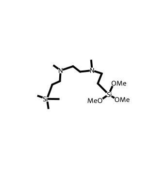 CO[Si](CCN(C)CCN(C)CC[Si](C)(C)C)(OC)OC